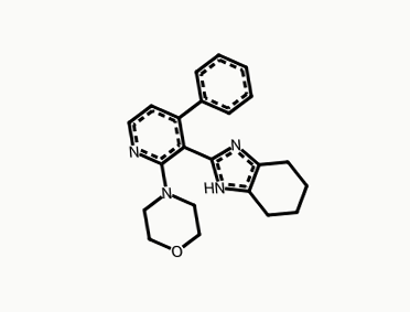 c1ccc(-c2ccnc(N3CCOCC3)c2-c2nc3c([nH]2)CCCC3)cc1